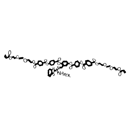 C=CC(=O)OCCOCCOCCOC(=O)C1CCC(C(=O)OC2CCC(C(=O)Oc3ccc(OC(=O)C4CCC(OC(=O)C5CCC(C(=O)OCCOCCOCCOC(=O)C=C)CC5)CC4)c(/C=N/N(CCCCCC)c4nc5ccccc5s4)c3)CC2)CC1